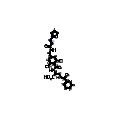 O=C(/C=C/c1ccco1)NCc1cc(Cl)c(C(=O)N[C@@H](CNC(=O)c2ccccn2)C(=O)O)c(Cl)c1